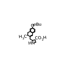 CCCCOc1ccc2c(c1)C[C@H](C)C(CC1NCC1C(=O)O)=C2